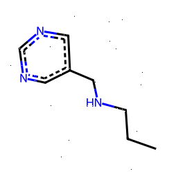 CCCNCc1cncnc1